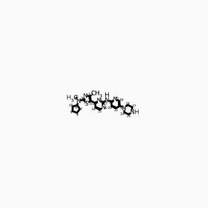 Cc1nc(N(C)C2CCCC2)sc1-c1ccnc(Nc2ccc(N3CCNCC3)cn2)n1